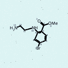 COC(=O)c1ccc(Br)cc1NCCN